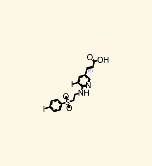 O=C(O)/C=C/c1cnc(NCCS(=O)(=O)c2ccc(I)cc2)c(I)c1